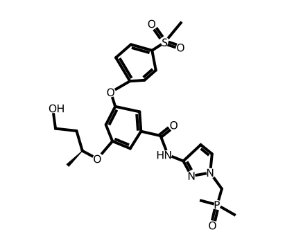 C[C@@H](CCO)Oc1cc(Oc2ccc(S(C)(=O)=O)cc2)cc(C(=O)Nc2ccn(CP(C)(C)=O)n2)c1